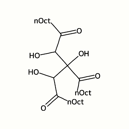 CCCCCCCCC(=O)C(O)C(O)(C(=O)CCCCCCCC)C(O)C(=O)CCCCCCCC